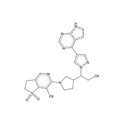 N#CCC(C1CCN(c2ncc3c(c2C#N)S(=O)(=O)CC3)C1)n1cc(-c2ncnc3[nH]ccc23)cn1